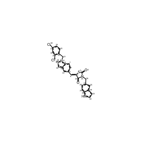 O=C1S/C(=C\c2ccc3c(cnn3Cc3ccc(Cl)cc3C(F)(F)F)c2)C(=O)N1Cc1ccc2[nH]ccc2c1